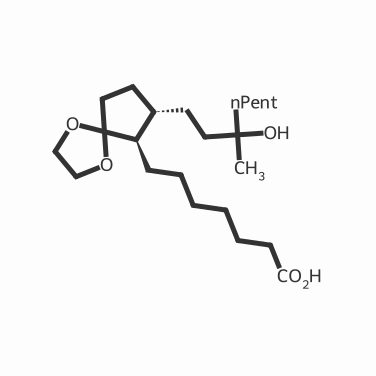 CCCCCC(C)(O)CC[C@H]1CCC2(OCCO2)[C@@H]1CCCCCCC(=O)O